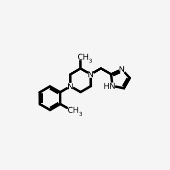 Cc1ccccc1N1CCN(Cc2ncc[nH]2)C(C)C1